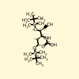 C#C[C@H](O[Si](C)(C)C(C)(C)C)[C@H](CCO[Si](C)(C)C(C)(C)C)NC(=O)O